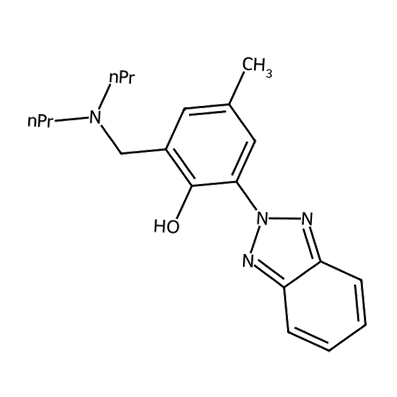 CCCN(CCC)Cc1cc(C)cc(-n2nc3ccccc3n2)c1O